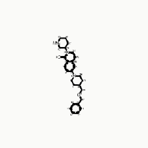 O=c1c2ccc(N3CCC(COCc4ccccc4)CC3)cc2ccn1C1CCCNC1